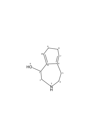 OC1CNCCC2=CCCC=C21